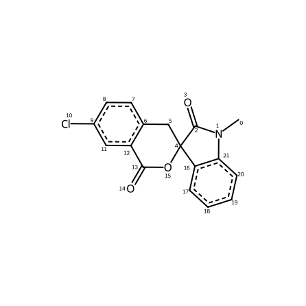 CN1C(=O)C2(Cc3ccc(Cl)cc3C(=O)O2)c2ccccc21